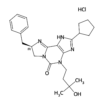 CC(C)(O)CCN1C(=O)N2C[C@@H](Cc3ccccc3)N=C2c2[nH]c(C3CCCC3)nc21.Cl